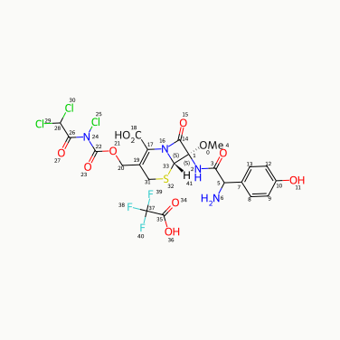 CO[C@@]1(NC(=O)C(N)c2ccc(O)cc2)C(=O)N2C(C(=O)O)=C(COC(=O)N(Cl)C(=O)C(Cl)Cl)CS[C@H]21.O=C(O)C(F)(F)F